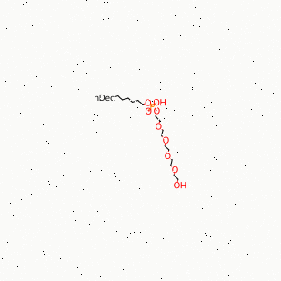 CCCCCCCCCCCCCCCCOP(=O)(O)OCCOCCOCCOCCOCCO